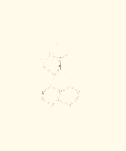 CC(C)Oc1c(-c2cccc3ccccc23)cnn(C(C)C)c1=O